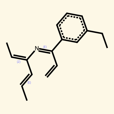 C=C\C(=N/C(=C\C)/C=C/C)c1cccc(CC)c1